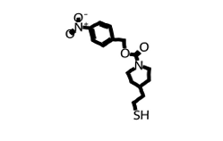 O=C(OCc1ccc([N+](=O)[O-])cc1)N1CCC(CCS)CC1